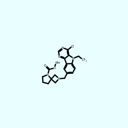 CC(C)(C)OC(=O)N1CCCC12CN(Cc1ccc3c(c1)c1ncnc(Cl)c1n3CC(F)(F)F)C2